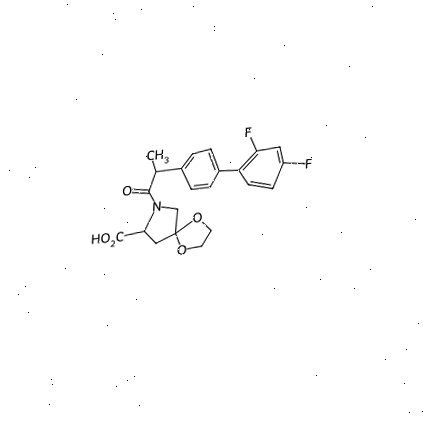 CC(C(=O)N1CC2(CC1C(=O)O)OCCO2)c1ccc(-c2ccc(F)cc2F)cc1